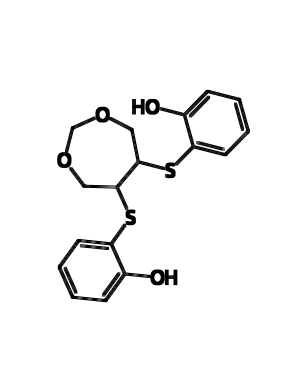 Oc1ccccc1SC1COCOCC1Sc1ccccc1O